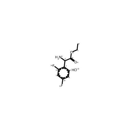 CCOC(=O)C(N)c1ccc(F)cc1F.Cl